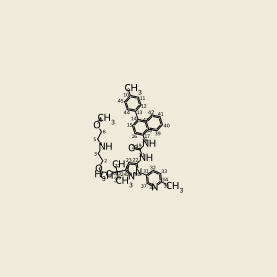 COCCNCCOC.Cc1ccc(-c2ccc(NC(=O)Nc3cc(C(C)(C)C)nn3-c3ccc(C)nc3)c3ccccc23)cc1